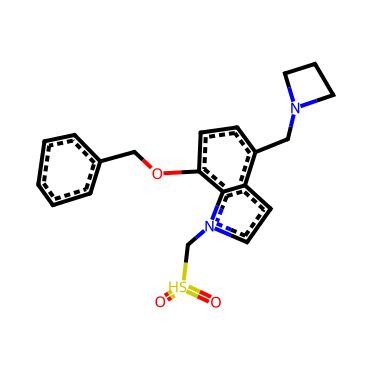 O=[SH](=O)Cn1ccc2c(CN3CCC3)ccc(OCc3ccccc3)c21